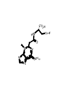 Cn1c(CC(=O)N[C@@H](CS)C(=O)O)nc(N)c2ncnc1-2